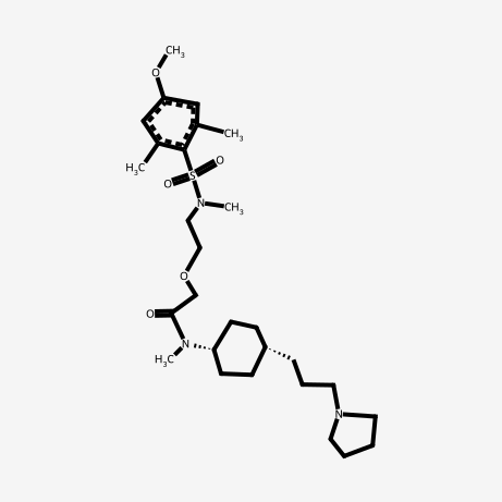 COc1cc(C)c(S(=O)(=O)N(C)CCOCC(=O)N(C)[C@H]2CC[C@@H](CCCN3CCCC3)CC2)c(C)c1